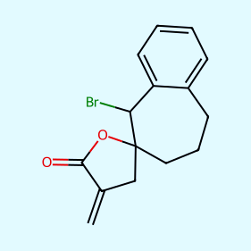 C=C1CC2(CCCc3ccccc3C2Br)OC1=O